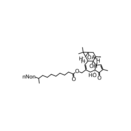 CCCCCCCCCC(C)CCCCCCCC(=O)OCC1=C[C@H]2[C@H]3C(C)(C)[C@]3(OC(C)=O)C[C@@H](C)[C@]2(O)[C@@H]2C=C(C)C(=O)[C@@]2(O)C1